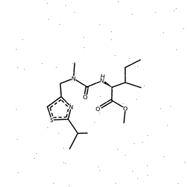 CCC(C)[C@H](NC(=O)N(C)Cc1csc(C(C)C)n1)C(=O)OC